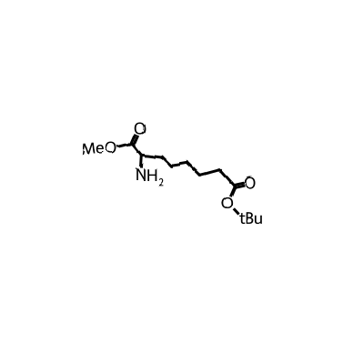 COC(=O)C(N)CCCCCC(=O)OC(C)(C)C